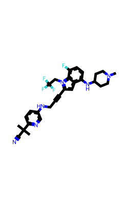 CN1CCC(Nc2ccc(F)c3c2cc(C#CCNc2ccc(C(C)(C)C#N)nc2)n3CC(F)(F)F)CC1